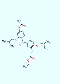 CCOC(=O)CCc1cc(C(=O)c2ccc(OC(C)=O)cc2OCC(C)C)ccc1OCC(C)C